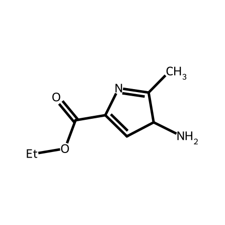 CCOC(=O)C1=CC(N)C(C)=N1